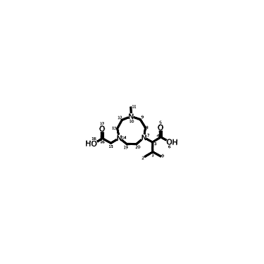 CC(C)C(C(=O)O)N1CCN(C)CCN(CC(=O)O)CC1